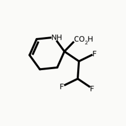 O=C(O)C1(C(F)C(F)F)CCC=CN1